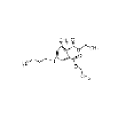 CCCCOc1cc(C)c(C(=O)OCC)c(C(=O)OCC)c1